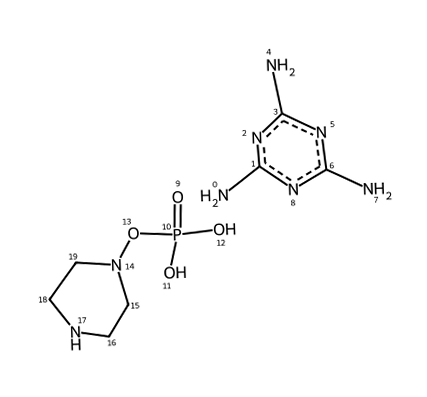 Nc1nc(N)nc(N)n1.O=P(O)(O)ON1CCNCC1